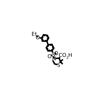 CCOc1cccc(-c2ccc(S(=O)(=O)N3CCSC(C)(C)C3C(=O)O)cc2)c1